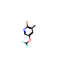 Cc1cc(OC(F)F)cnc1Br